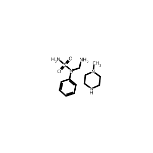 CN1CCNCC1.NCN(c1ccccc1)S(N)(=O)=O